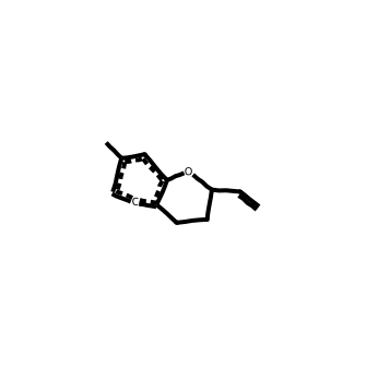 C=CC1CCc2ccc(C)cc2O1